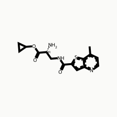 Cc1ccnc2cc(C(=O)NC[C@@H](N)C(=O)OC3CC3)sc12